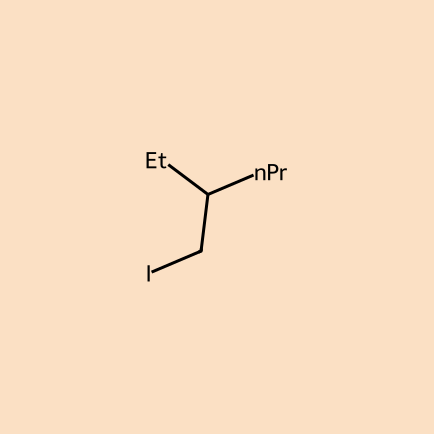 CCCC(CC)CI